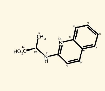 C[C@@H](Nc1ccc2ccccc2n1)C(=O)O